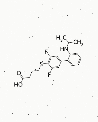 CC(C)Nc1ccccc1-c1cc(F)c(SCCCC(=O)O)c(F)c1